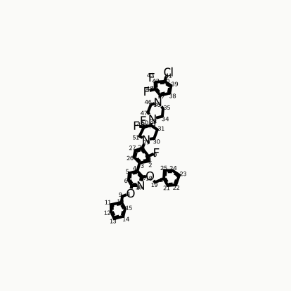 Fc1cc(-c2ccc(OCc3ccccc3)nc2OCc2ccccc2)ccc1N1CC[C@H](N2CCN(c3ccc(Cl)c(F)c3F)CC2)C(F)(F)C1